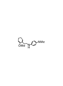 CNc1ccc(NCCC2=CCCC=C2OC)cc1